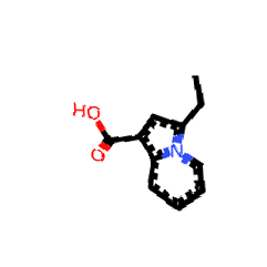 CCc1cc(C(=O)O)c2ccccn12